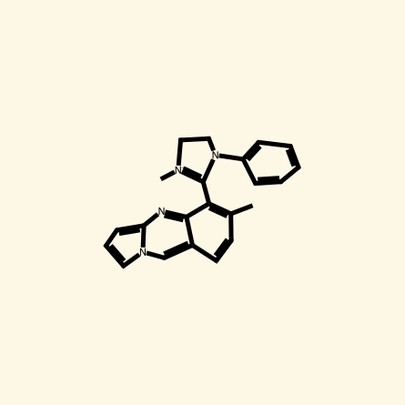 Cc1ccc2cn3cccc3nc2c1C1=[N+](C)CCN1c1ccccc1